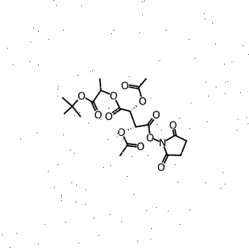 CC(=O)O[C@@H](C(=O)OC(C)C(=O)OC(C)(C)C)[C@@H](OC(C)=O)C(=O)ON1C(=O)CCC1=O